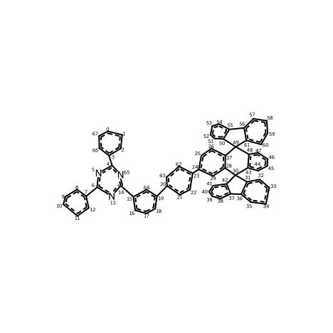 c1ccc(-c2nc(-c3ccccc3)nc(-c3cccc(-c4ccc(-c5ccc6c(c5)C5(c7ccccc7-c7ccccc75)c5ccccc5C65c6ccccc6-c6ccccc65)cc4)c3)n2)cc1